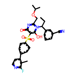 CCC(c1cccc(C#N)c1)n1c(COC(C)C)nc(=O)c(S(=O)(=O)c2ccc(-c3ccnc(F)c3C)cc2)c1O